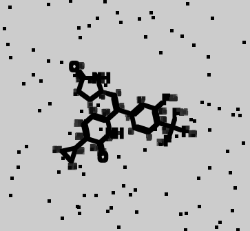 O=C1CC[C@H](C=C(c2ccc(C(F)(F)F)c(F)c2)c2ccc(C3CC3)c(=O)[nH]2)N1